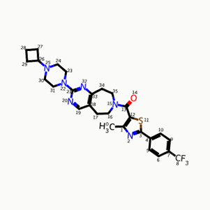 Cc1nc(-c2ccc(C(F)(F)F)cc2)sc1C(=O)N1CCc2cnc(N3CCN(C4CCC4)CC3)nc2CC1